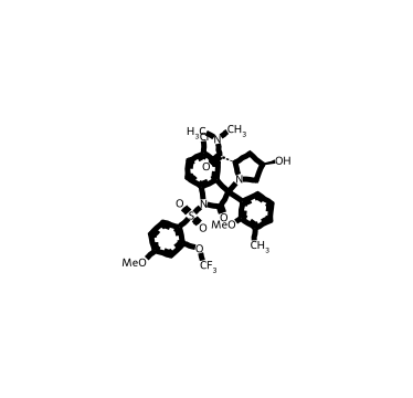 COc1ccc(S(=O)(=O)N2C(=O)C(c3cccc(C)c3OC)(N3C[C@H](O)C[C@H]3C(=O)N(C)C)c3cc(Cl)ccc32)c(OC(F)(F)F)c1